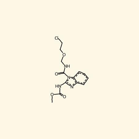 COC(=O)Nc1nc2ccccc2n1C(=O)NCOCCCl